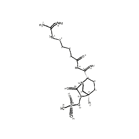 N=C(N)NOCCCC(=O)NC(=N)[C@@H]1CC[C@@H]2CN1C(=O)N2OS(=O)(=O)O